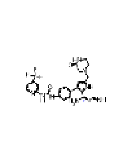 N=C/N=C(/N)c1[nH]c(CN2CCNC(=O)C2)cc1-c1ccc(NC(=O)Nc2cc(C(F)(F)F)ccn2)cc1